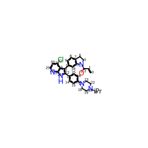 C=CC(=O)N1CCc2ccc(-c3c(-c4ccc(N5CCN(C(C)C)CC5)cc4)[nH]c4nccc(Cl)c34)cc21